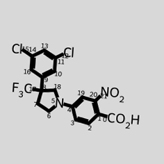 O=C(O)c1ccc(N2CCC(c3cc(Cl)cc(Cl)c3)(C(F)(F)F)C2)cc1[N+](=O)[O-]